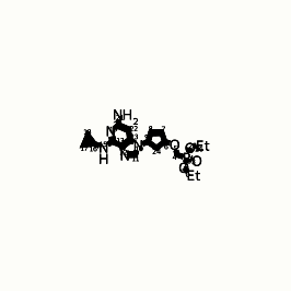 CCOP(=O)(COC1C=CC(n2cnc3c(NC4CC4)nc(N)cc32)C1)OCC